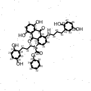 O=C1c2c(O)ccc(O)c2C(=O)c2c(N(CCCc3cc(O)ccc3O)C(=O)Oc3ccccc3)ccc(NCCCc3cc(O)ccc3O)c21